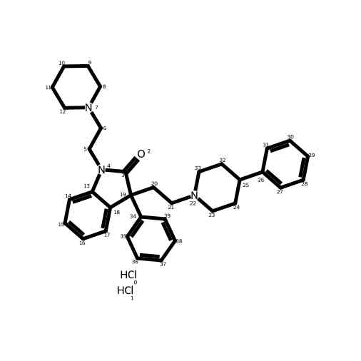 Cl.Cl.O=C1N(CCN2CCCCC2)c2ccccc2C1(CCN1CCC(c2ccccc2)CC1)c1ccccc1